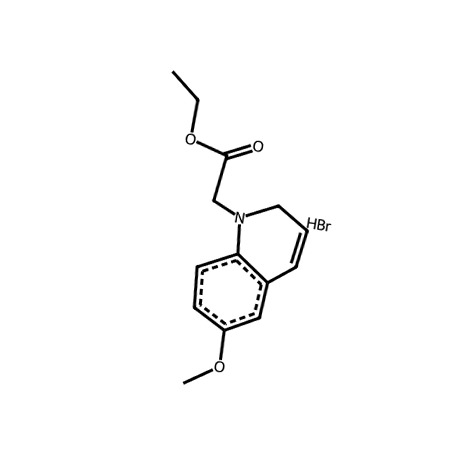 Br.CCOC(=O)CN1CC=Cc2cc(OC)ccc21